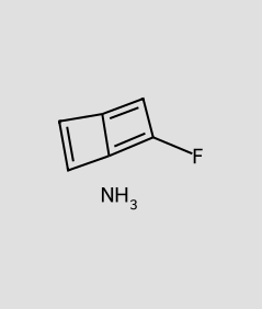 Fc1cc2ccc1-2.N